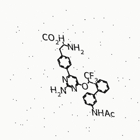 CC(=O)Nc1cccc(-c2ccccc2C(Oc2cc(-c3ccc(C[C@H](N)C(=O)O)cc3)nc(N)n2)C(F)(F)F)c1